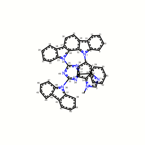 Cn1cnc2cc(-n3c4ccccc4c4ccc5c6ccccc6n(-c6nc(-c7ccccc7)nc(-n7c8ccccc8c8ccccc87)n6)c5c43)ccc21